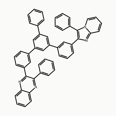 c1ccc(-c2cc(-c3cccc(-c4nc5ccccc5nc4-c4ccccc4)c3)cc(-c3cccc(-c4nc5ccccn5c4-c4ccccc4)c3)c2)cc1